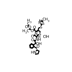 CC(=O)OC(C)OC(=O)C1=C(CSc2nnc(C)s2)CS[C@H]2C(NC(=O)C(O)c3ccccc3C(=O)[C@@H]3CCCN3)C(=O)N12.Cl